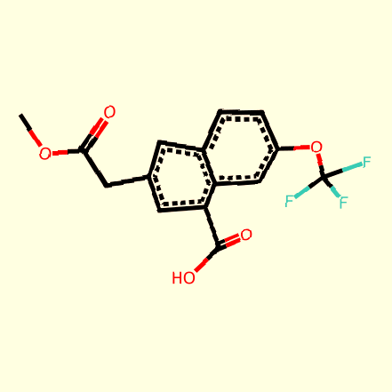 COC(=O)Cc1cc(C(=O)O)c2cc(OC(F)(F)F)ccc2c1